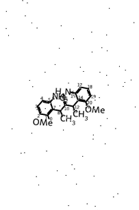 COc1cccc(N)c1C(C)C(=O)C(C)c1c(N)cccc1OC